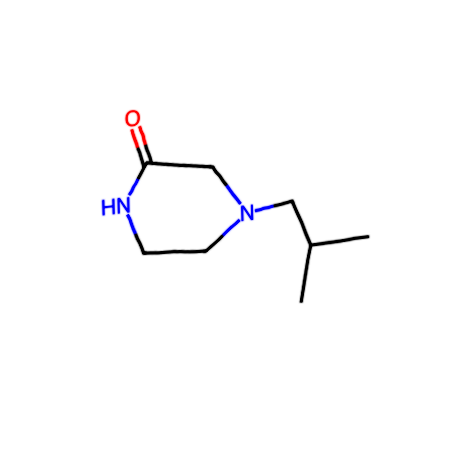 CC(C)CN1CCNC(=O)C1